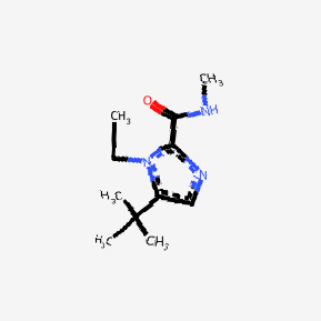 CCn1c(C(C)(C)C)cnc1C(=O)NC